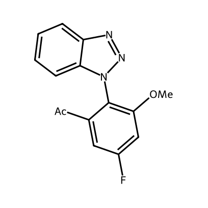 COc1cc(F)cc(C(C)=O)c1-n1nnc2ccccc21